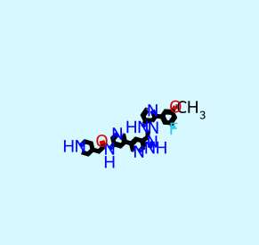 COc1cc(F)cc(-c2nccc3[nH]c(-c4n[nH]c5ncc(-c6cncc(NC(=O)CC7CCNCC7)c6)cc45)nc23)c1